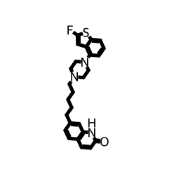 O=c1ccc2ccc(CCCCCN3CCN(c4cccc5sc(F)cc45)CC3)cc2[nH]1